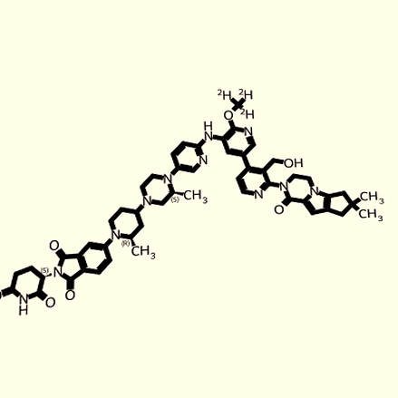 [2H]C([2H])([2H])Oc1ncc(-c2ccnc(N3CCn4c(cc5c4CC(C)(C)C5)C3=O)c2CO)cc1Nc1ccc(N2CCN(C3CCN(c4ccc5c(c4)C(=O)N([C@H]4CCC(=O)NC4=O)C5=O)[C@H](C)C3)C[C@@H]2C)cn1